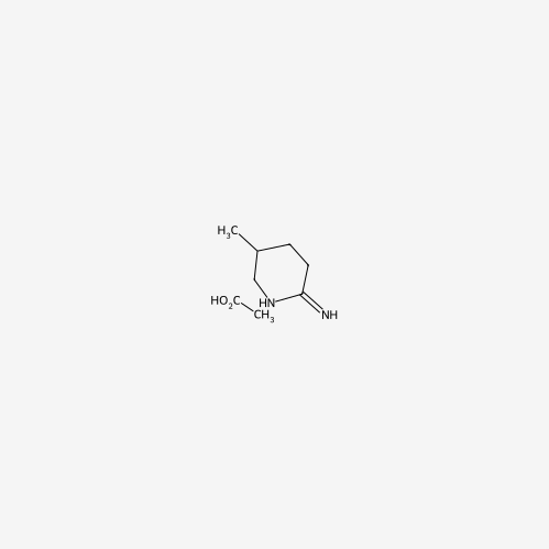 CC(=O)O.CC1CCC(=N)NC1